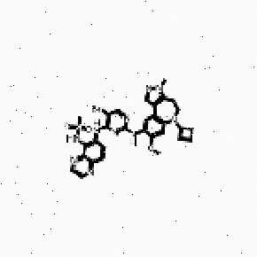 COc1cc2c(cc1Nc1ncc(Br)c(Nc3ccc4nccnc4c3NS(C)(=O)=O)n1)-c1cnn(C)c1CCN2C1CCC1